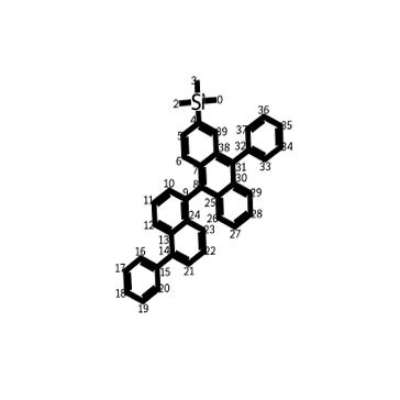 C[Si](C)(C)c1ccc2c(-c3cccc4c(-c5ccccc5)cccc34)c3ccccc3c(-c3ccccc3)c2c1